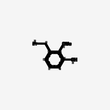 COc1c(O)cccc1CC(C)C